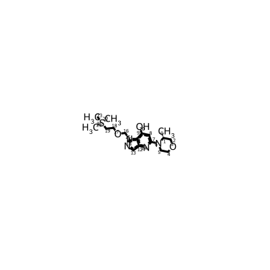 C[C@@H]1COCCN1c1cc(O)c2c(cnn2COCCS(C)(C)C)n1